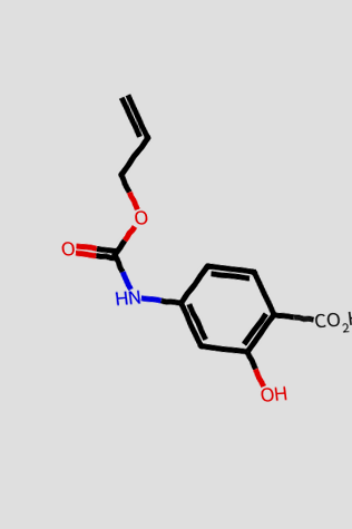 C=CCOC(=O)Nc1ccc(C(=O)O)c(O)c1